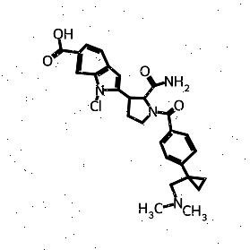 CN(C)CC1(c2ccc(C(=O)N3CCC(c4cc5ccc(C(=O)O)cc5n4Cl)C3C(N)=O)cc2)CC1